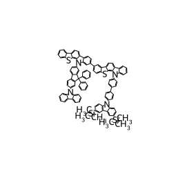 C[Si](C)(C)c1ccc2c(c1)c1cc([Si](C)(C)C)ccc1n2-c1ccc(-c2ccc(-n3c4ccccc4c4ccc5c6cc(-c7ccc8c9ccc%10c%11ccccc%11sc%10c9n(-c9ccc%10c(c9)C(c9ccccc9)(c9ccccc9)c9cc(-n%11c%12ccccc%12c%12ccccc%12%11)ccc9-%10)c8c7)ccc6sc5c43)cc2)cc1